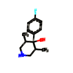 CC1CNCC(C)C1(O)c1ccc(F)cc1